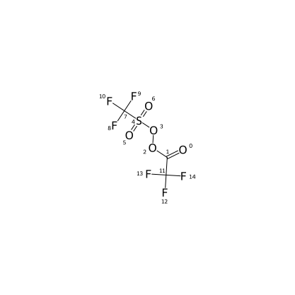 O=C(OOS(=O)(=O)C(F)(F)F)C(F)(F)F